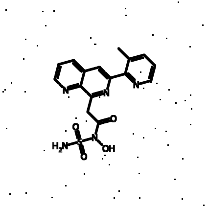 Cc1cccnc1-c1cc2cccnc2c(CC(=O)N(O)S(N)(=O)=O)n1